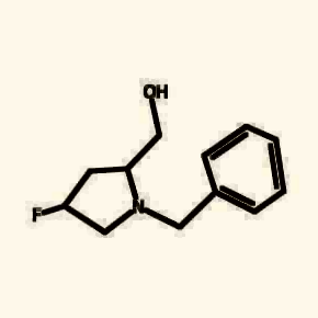 OCC1CC(F)CN1Cc1ccccc1